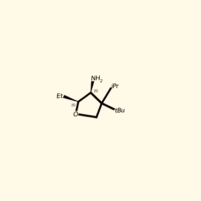 CC[C@@H]1OCC(C(C)C)(C(C)(C)C)[C@@H]1N